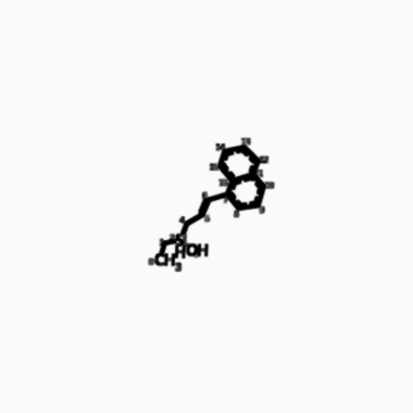 CC[SiH](O)CC=Cc1cccc2ccccc12